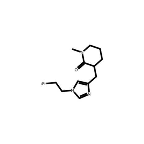 CC(C)CCn1cnc(CC2CCCN(C)C2=O)c1